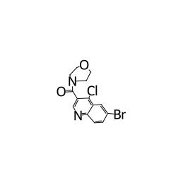 O=C(c1cnc2ccc(Br)cc2c1Cl)N1CCOCC1